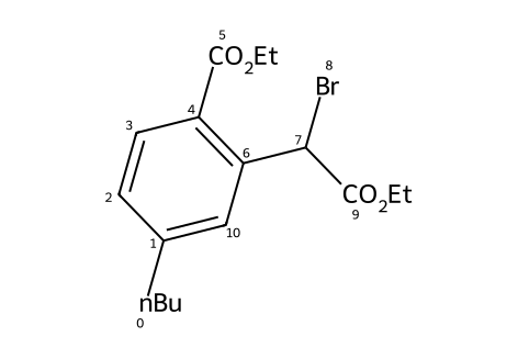 CCCCc1ccc(C(=O)OCC)c(C(Br)C(=O)OCC)c1